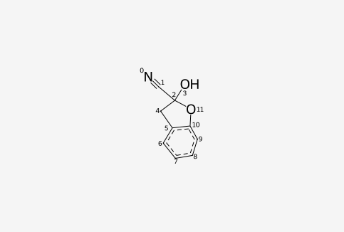 N#CC1(O)Cc2ccccc2O1